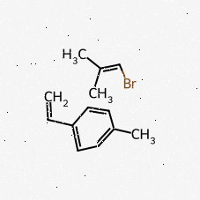 C=Cc1ccc(C)cc1.CC(C)=CBr